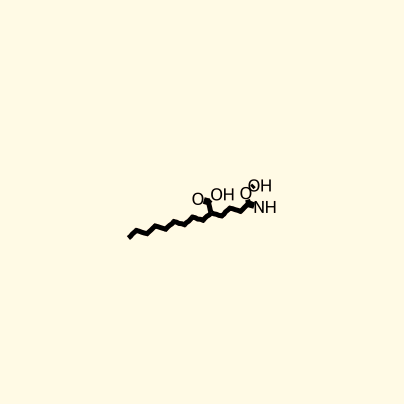 CCCCCCCCCC(CCCC(=N)OO)C(=O)O